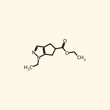 CCOC(=O)C1Cc2cnn(CC)c2C1